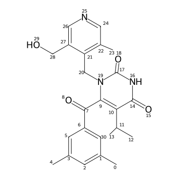 Cc1cc(C)cc(C(=O)c2c(C(C)C)c(=O)[nH]c(=O)n2Cc2c(C)cncc2CO)c1